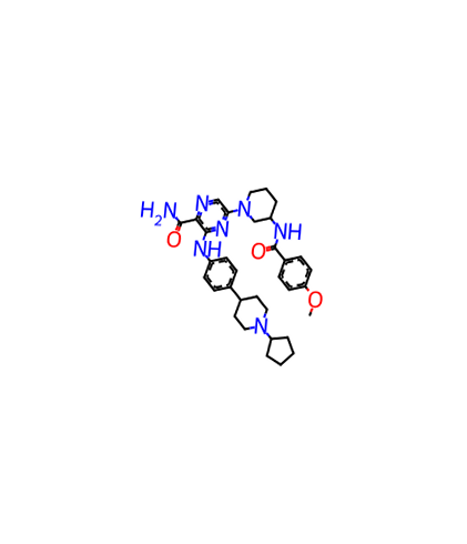 COc1ccc(C(=O)NC2CCCN(c3cnc(C(N)=O)c(Nc4ccc(C5CCN(C6CCCC6)CC5)cc4)n3)C2)cc1